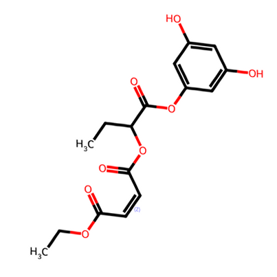 CCOC(=O)/C=C\C(=O)OC(CC)C(=O)Oc1cc(O)cc(O)c1